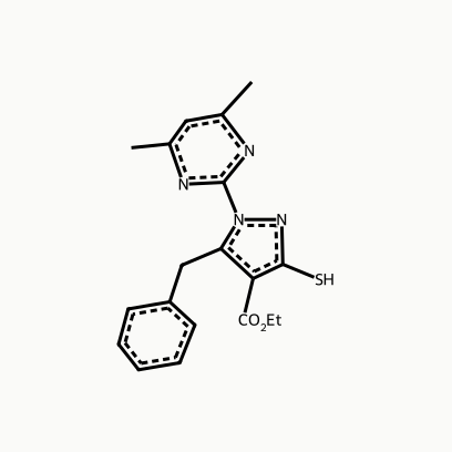 CCOC(=O)c1c(S)nn(-c2nc(C)cc(C)n2)c1Cc1ccccc1